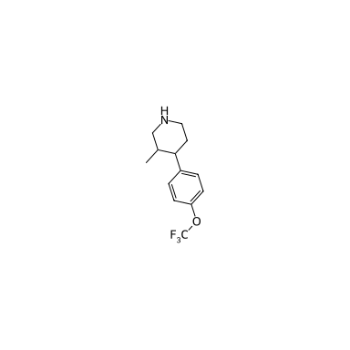 CC1CNCCC1c1ccc(OC(F)(F)F)cc1